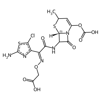 CC1C=C(OC(=O)O)N2C(=O)C(NC(=O)C(=NOCC(=O)O)c3nc(N)sc3Cl)[C@@H]2S1